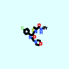 CC(C)NC(=O)c1csc(-c2oc(CN3CCOCC3)nc2-c2ccc(F)cc2)n1